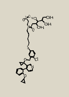 CS(=O)(=O)CCN(CCCCSc1ccc(Cl)c(COC2(c3cnccc3-c3ccccc3OC3CC3)CC2)c1)C(=O)CC(O)C(O)C(O)CO